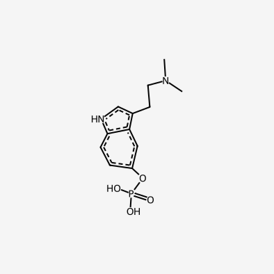 CN(C)CCc1c[nH]c2ccc(OP(=O)(O)O)cc12